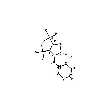 CC(C)(C)[C@@H]1[C@H](CN2CCOCC2)[C@@H](F)CN1C(C)(C)C